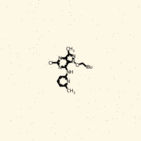 CCC(C)COn1nc(C)c2nc(Cl)nc(Nc3cccc(C)n3)c21